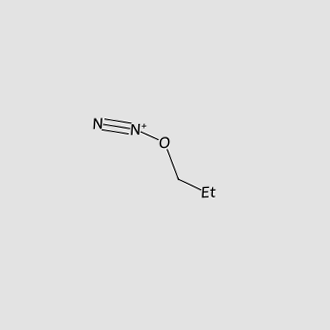 CCCO[N+]#N